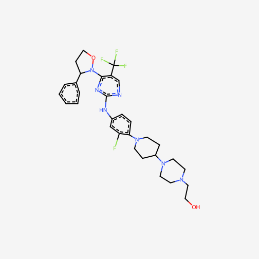 OCCN1CCN(C2CCN(c3ccc(Nc4ncc(C(F)(F)F)c(N5OCCC5c5ccccc5)n4)cc3F)CC2)CC1